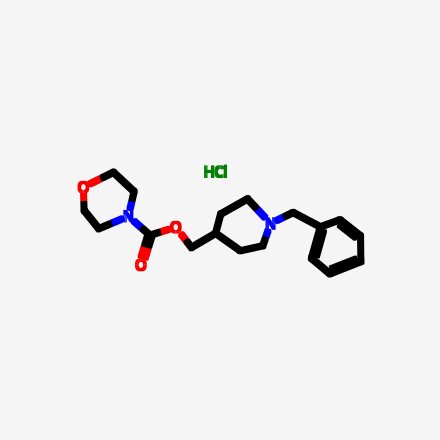 Cl.O=C(OCC1CCN(Cc2ccccc2)CC1)N1CCOCC1